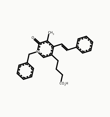 Cc1c(C=Cc2ccccc2)c(CCCC(=O)O)cn(Cc2ccccc2)c1=O